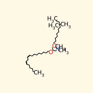 CCCCC/C=C\C/C=C\CCCCCCCCOC(COCCCCCCCCC(C)(C)CCC)CN(C)C